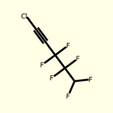 FC(F)C(F)(F)C(F)(F)C#CCl